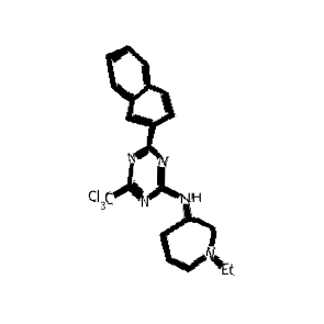 CCN1CCCC(Nc2nc(-c3ccc4ccccc4c3)nc(C(Cl)(Cl)Cl)n2)C1